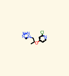 CC(Cn1cnnn1)Oc1ccnc(Cl)c1